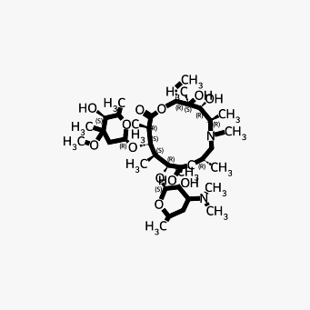 CC[C@H]1OC(=O)[C@H](C)[C@@H](O[C@H]2CC(C)(OC)[C@@H](O)C(C)O2)[C@H](C)[C@@H](O[C@@H]2OC(C)CC(N(C)C)C2O)[C@](C)(O)C[C@@H](C)CN(C)[C@H](C)[C@@H](O)[C@]1(C)O